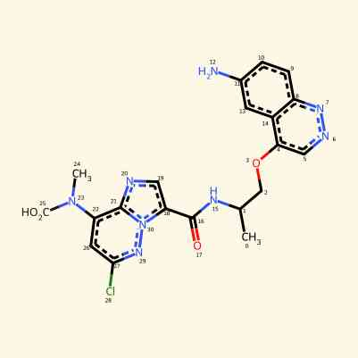 CC(COc1cnnc2ccc(N)cc12)NC(=O)c1cnc2c(N(C)C(=O)O)cc(Cl)nn12